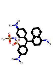 CCNc1ccc(C(=C2C=CC(=[N+](CC)CC)C=C2)c2ccc(N(CC)CC)cc2S(=O)(=O)NS(=O)(=O)C(F)(F)F)c2ccccc12